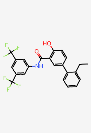 CCc1ccccc1-c1ccc(O)c(C(=O)Nc2cc(C(F)(F)F)cc(C(F)(F)F)c2)c1